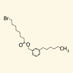 CCCCCCc1cccc(COC(=O)CCCCCCCBr)c1